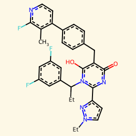 CCC(c1cc(F)cc(F)c1)n1c(-c2ccn(CC)n2)nc(=O)c(Cc2ccc(-c3ccnc(F)c3C)cc2)c1O